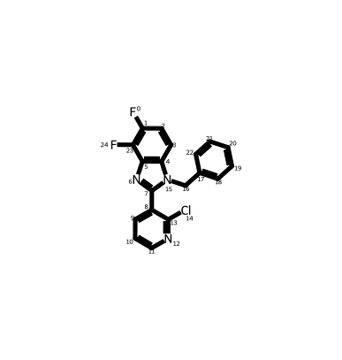 Fc1ccc2c(nc(-c3cccnc3Cl)n2Cc2ccccc2)c1F